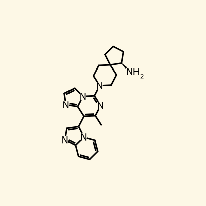 Cc1nc(N2CCC3(CCC[C@H]3N)CC2)n2ccnc2c1-c1cnc2ccccn12